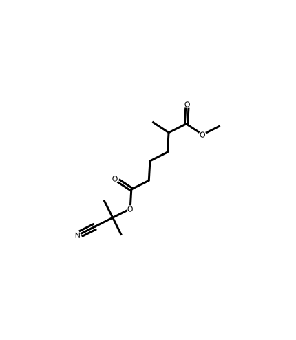 COC(=O)C(C)CCCC(=O)OC(C)(C)C#N